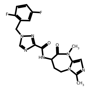 Cc1ncc2n1CCC(NC(=O)c1ncn(Cc3cc(F)ccc3F)n1)C(=O)N2C